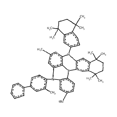 Cc1cc2c3c(c1)N(c1ccc(-c4ccccc4)cc1C)c1cc(C(C)(C)C)ccc1B3c1cc3c(cc1N2c1ccc2c(c1)C(C)(C)CCC2(C)C)C(C)(C)CCC3(C)C